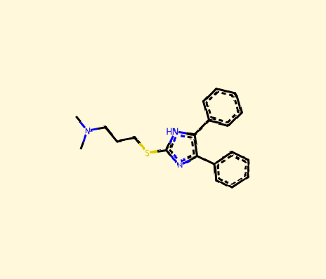 CN(C)CCCSc1nc(-c2ccccc2)c(-c2ccccc2)[nH]1